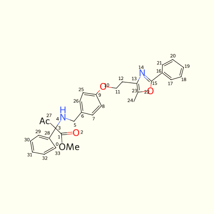 COC(=O)C(NCc1ccc(OCCc2nc(-c3ccccc3)oc2C)cc1)(C(C)=O)c1ccccc1